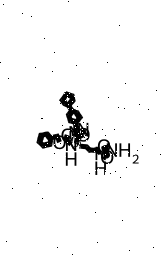 NS(=O)(=O)NCCCC[C@H](NC(=O)OCc1ccccc1)c1nc(-c2ccc(-c3ccccc3)cc2)no1